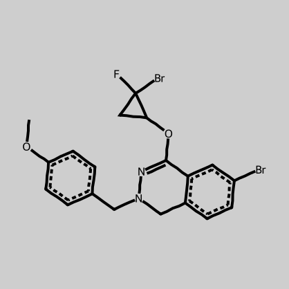 COc1ccc(CN2Cc3ccc(Br)cc3C(OC3CC3(F)Br)=N2)cc1